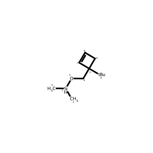 C[SiH](C)OCC1(C(C)(C)C)C=CC1